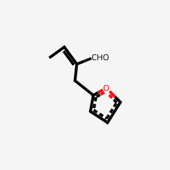 C/C=C(/C=O)Cc1ccco1